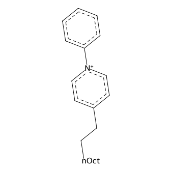 CCCCCCCCCCc1cc[n+](-c2ccccc2)cc1